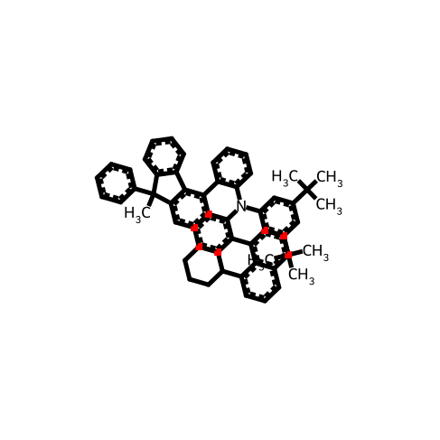 CC(C)(C)c1cc(N(c2ccccc2-c2cccc3c2-c2ccccc2C3(C)c2ccccc2)c2ccccc2-c2cccc3cccc(C4CCCCC4)c23)cc(C(C)(C)C)c1